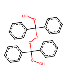 OOC(OOC(OO)(c1ccccc1)c1ccccc1)(c1ccccc1)c1ccccc1